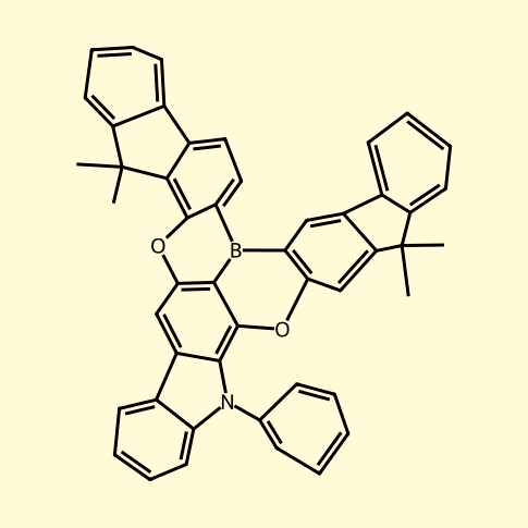 CC1(C)c2ccccc2-c2cc3c(cc21)Oc1c2c(cc4c5ccccc5n(-c5ccccc5)c14)Oc1c(ccc4c1C(C)(C)c1ccccc1-4)B32